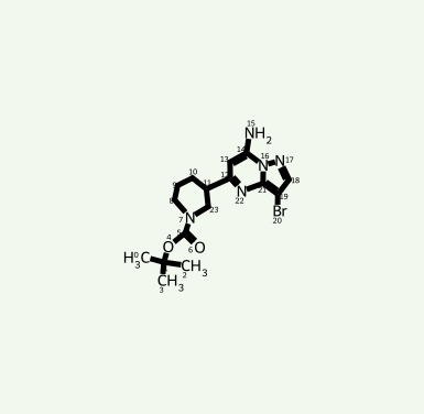 CC(C)(C)OC(=O)N1CCCC(c2cc(N)n3ncc(Br)c3n2)C1